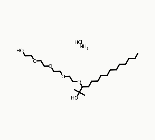 CCCCCCCCCCCCC(OCCOCCOCCOCCO)C(C)(C)O.Cl.N